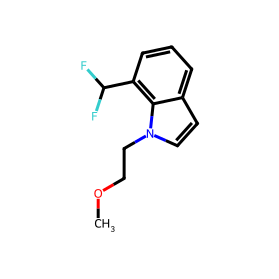 COCCn1ccc2cccc(C(F)F)c21